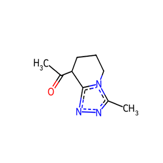 CC(=O)C1CCCn2c(C)nnc21